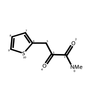 CNC(=O)C(=O)Cc1cccs1